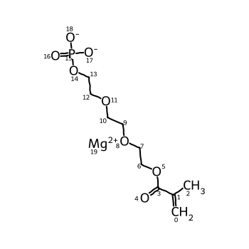 C=C(C)C(=O)OCCOCCOCCOP(=O)([O-])[O-].[Mg+2]